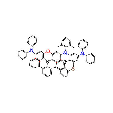 Cc1cccc(C)c1N1c2cc3c(cc2B2c4ccccc4Sc4cc(N(c5ccccc5)c5ccccc5)cc1c42)B(c1c(-c2ccccc2)cccc1-c1ccccc1)c1ccc(N(c2ccccc2)c2ccccc2)cc1O3